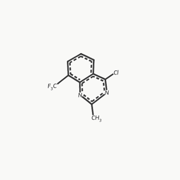 Cc1nc(Cl)c2cccc(C(F)(F)F)c2n1